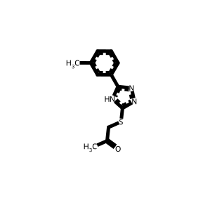 CC(=O)CSc1nnc(-c2cccc(C)c2)[nH]1